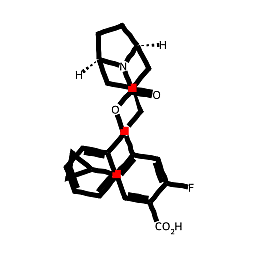 O=C(O)c1cc(C2CC2)c(OC[C@H]2C[C@H]3CC[C@@H](C2)N3C(=O)OCc2ccccc2)cc1F